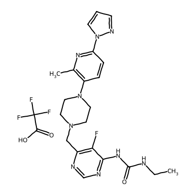 CCNC(=O)Nc1ncnc(CN2CCN(c3ccc(-n4cccn4)nc3C)CC2)c1F.O=C(O)C(F)(F)F